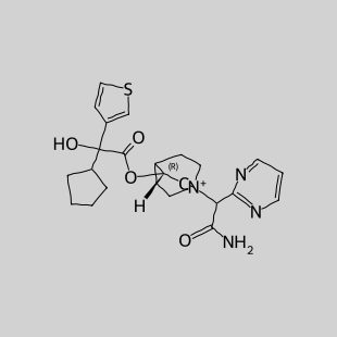 NC(=O)C(c1ncccn1)[N+]12CCC(CC1)[C@@H](OC(=O)C(O)(c1ccsc1)C1CCCC1)C2